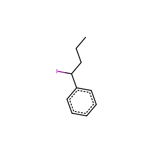 CCCC(I)c1ccccc1